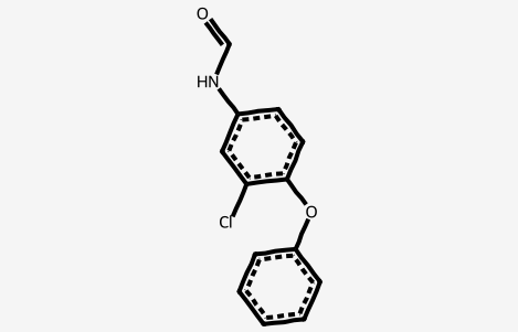 O=CNc1ccc(Oc2ccccc2)c(Cl)c1